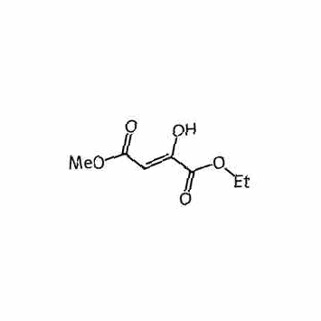 CCOC(=O)/C(O)=C/C(=O)OC